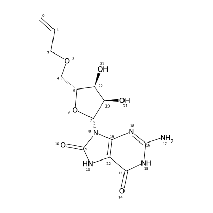 C=CCOC[C@H]1O[C@@H](n2c(=O)[nH]c3c(=O)[nH]c(N)nc32)[C@H](O)[C@@H]1O